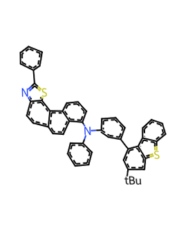 CC(C)(C)c1cc(-c2cccc(N(c3ccccc3)c3cccc4c3ccc3ccc5nc(-c6ccccc6)sc5c34)c2)c2c(c1)sc1ccccc12